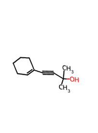 CC(C)(O)C#CC1=CCCCC1